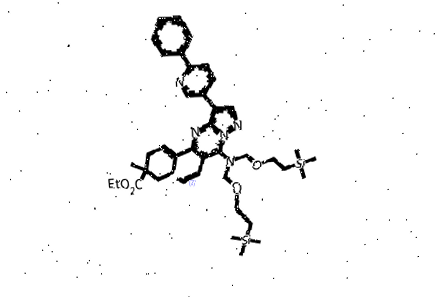 C/C=C\c1c(C2=CCC(C)(C(=O)OCC)CC2)nc2c(-c3ccc(-c4ccccc4)nc3)cnn2c1N(COCC[Si](C)(C)C)COCC[Si](C)(C)C